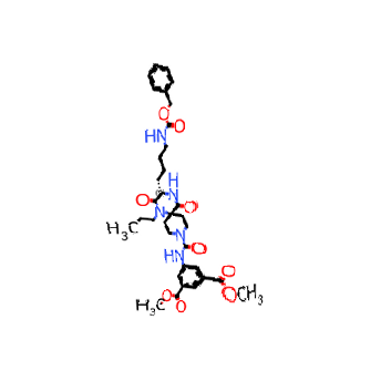 CCCN1C(=O)[C@H](CCCCNC(=O)OCc2ccccc2)NC(=O)C12CCN(C(=O)Nc1cc(C(=O)OC)cc(C(=O)OC)c1)CC2